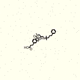 CN(CC(O)CNC(C)(C)CCCc1ccccc1)S(=O)(=O)c1ccc(CCC(=O)O)cc1F